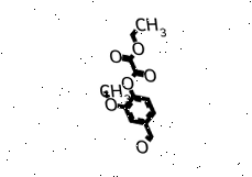 CCOC(=O)C(=O)Oc1ccc(C=O)cc1OC